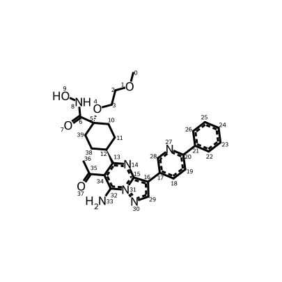 COCCO[C@]1(C(=O)NO)CC[C@@H](c2nc3c(-c4ccc(-c5ccccc5)nc4)cnn3c(N)c2C(C)=O)CC1